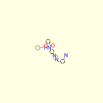 N#Cc1cccc(CN2CCN(c3ccc(NC(=O)c4ccccc4OCCC4CCCCC4)cc3)CC2)c1